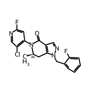 C[C@@H]1Cc2c(cnn2Cc2ccccc2F)C(=O)N1c1cc(F)ncc1Cl